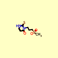 CS(=O)(=O)CCCn1c(=O)cc[nH]c1=S